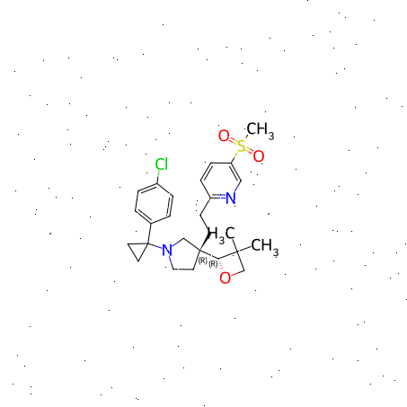 CC1(C)CO[C@@H]1[C@]1(CCc2ccc(S(C)(=O)=O)cn2)CCN(C2(c3ccc(Cl)cc3)CC2)C1